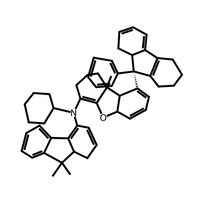 CC12CCCC(N(C3=C4c5ccccc5C(C)(C)C4CC=C3)C3CCCCC3)=C1OC1C=CC=C([C@@]3(c4ccccc4)C4=C(CCCC4)C4=CC=CCC43)C12